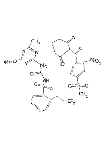 COc1nc(C)nc(NC(=O)NS(=O)(=O)c2ccccc2CCC(F)(F)F)n1.CS(=O)(=O)c1ccc(C(=O)C2C(=O)CCCC2=O)c([N+](=O)[O-])c1